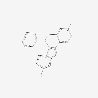 CC(C)c1ccc2c(c1)O[C@@H](c1ccccc1)n1c-2cc2cc(C(C)C)ccc21